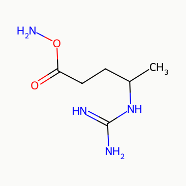 CC(CCC(=O)ON)NC(=N)N